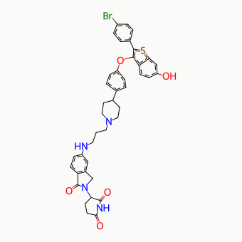 O=C1CCC(N2Cc3cc(NCCCN4CCC(c5ccc(Oc6c(-c7ccc(Br)cc7)sc7cc(O)ccc67)cc5)CC4)ccc3C2=O)C(=O)N1